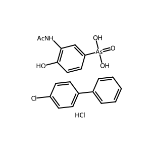 CC(=O)Nc1cc([As](=O)(O)O)ccc1O.Cl.Clc1ccc(-c2ccccc2)cc1